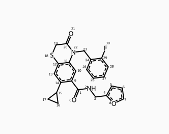 O=C(NCc1ccco1)c1cc2c(cc1C1CC1)SCC(=O)N2Cc1ccccc1F